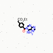 CCOC(=O)Cc1ccc(C(=O)n2cnc3ncnc-3c2N)cc1